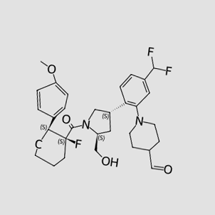 COc1ccc([C@@H]2CCCC[C@@]2(F)C(=O)N2C[C@H](c3ccc(C(F)F)cc3N3CCC(C=O)CC3)C[C@H]2CO)cc1